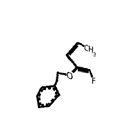 C/C=C\C(=C\F)OCc1ccccc1